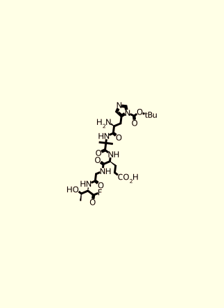 C[C@@H](O)[C@H](NC(=O)CNC(=O)[C@H](CCC(=O)O)NC(=O)C(C)(C)NC(=O)[C@@H](N)Cc1cncn1C(=O)OC(C)(C)C)C(=O)F